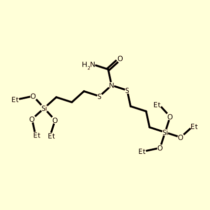 CCO[Si](CCCSN(SCCC[Si](OCC)(OCC)OCC)C(N)=O)(OCC)OCC